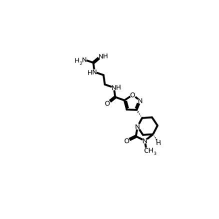 CN1C(=O)N2C[C@H]1CC[C@H]2c1cc(C(=O)NCCNC(=N)N)on1